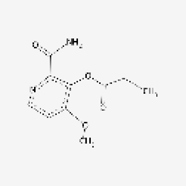 CCC(=O)Oc1c(OC)ccnc1C(N)=O